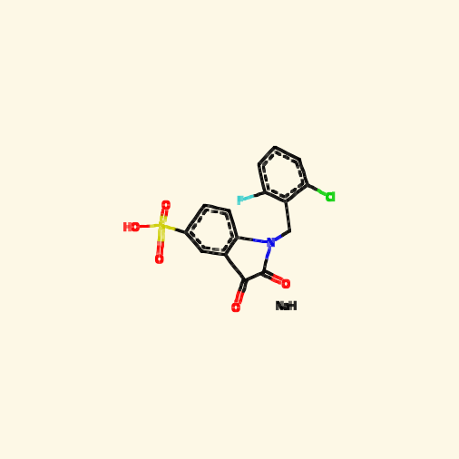 O=C1C(=O)N(Cc2c(F)cccc2Cl)c2ccc(S(=O)(=O)O)cc21.[NaH]